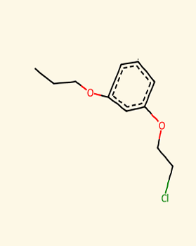 CCCOc1c[c]cc(OCCCl)c1